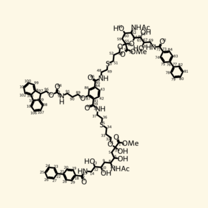 COC(=O)C(O)(CC(O)C(CC(O)C(O)CNC(=O)c1ccc(-c2ccccc2)cc1)NC(C)=O)OCCCSCCNC(=O)c1ccc(C(=O)NCCSCCCOC2(C(=O)OC)CC(O)C(NC(C)=O)C([C@H](O)C(O)CNC(=O)c3ccc(-c4ccccc4)cc3)O2)cc1OCCCNC(=O)OCC1c2ccccc2-c2ccccc21